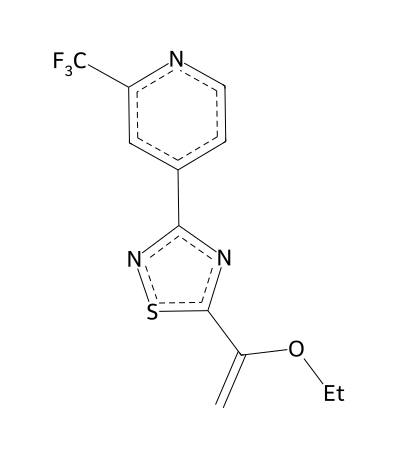 C=C(OCC)c1nc(-c2ccnc(C(F)(F)F)c2)ns1